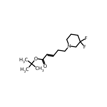 CC(C)(C)OC(=O)/C=C/CCN1CCCC(F)(F)C1